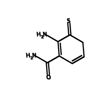 NC(=O)C1=C(N)C(=S)CC=C1